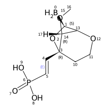 B[C@@H]1O[C@@]2(/C=C/P(=O)(O)O)CCOC1[C@H]2OC